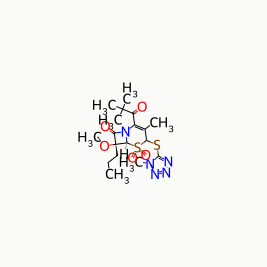 CCC[C@@]1(OC)C(=O)N2C(C(=O)C(C)(C)C)=C(C)C(Sc3nnnn3C)S(=O)(=O)[C@H]21